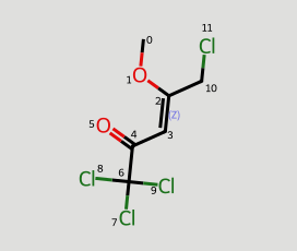 CO/C(=C\C(=O)C(Cl)(Cl)Cl)CCl